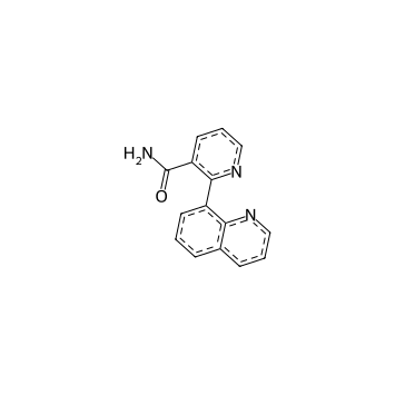 NC(=O)c1cccnc1-c1cccc2cccnc12